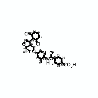 Cc1cc(OCC2C(c3c(Cl)cccc3Cl)=NOC2C(C)C)cnc1NC(=O)c1ccc(C(=O)O)cc1